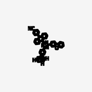 N#Cc1ccc(-c2c3ccccc3c(-c3nc(-c4ccc(C56C[C@H]7C[C@@H](C5)C[C@@H](C6)C7)cc4)nc(-c4ccc5c(c4)oc4ccccc45)n3)c3ccccc23)cc1